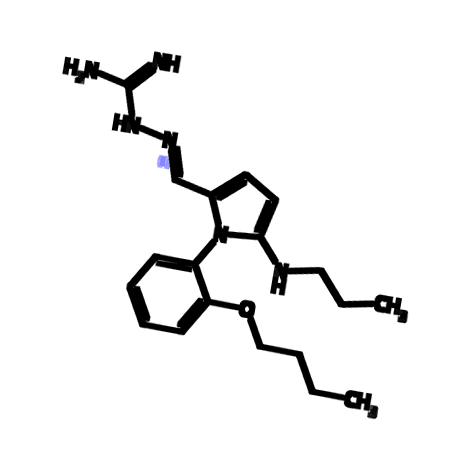 CCCCOc1ccccc1-n1c(/C=N/NC(=N)N)ccc1NCCC